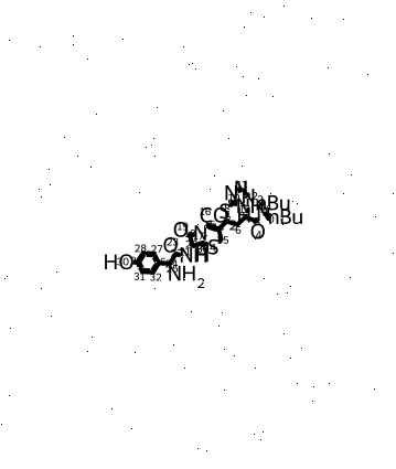 CCCCN(CCCC)C(=O)CCC(Sc1nnn[nH]1)C1=C(C(=O)O)N2C(=O)C(NC(=O)C(N)c3ccc(O)cc3)[C@@H]2SC1